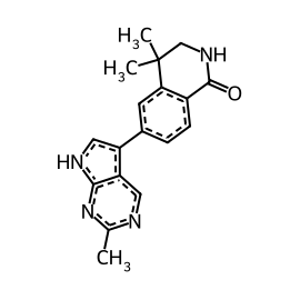 Cc1ncc2c(-c3ccc4c(c3)C(C)(C)CNC4=O)c[nH]c2n1